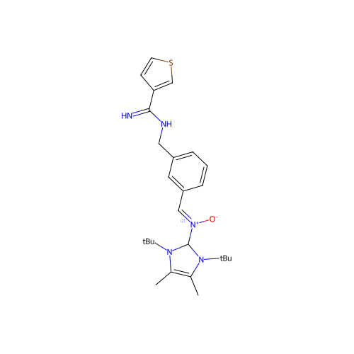 CC1=C(C)N(C(C)(C)C)C(/[N+]([O-])=C/c2cccc(CNC(=N)c3ccsc3)c2)N1C(C)(C)C